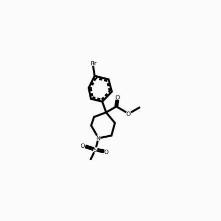 COC(=O)C1(c2ccc(Br)cc2)CCN(S(C)(=O)=O)CC1